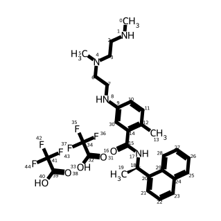 CNCCN(C)CCNc1ccc(C)c(C(=O)N[C@H](C)c2cccc3ccccc23)c1.O=C(O)C(F)(F)F.O=C(O)C(F)(F)F